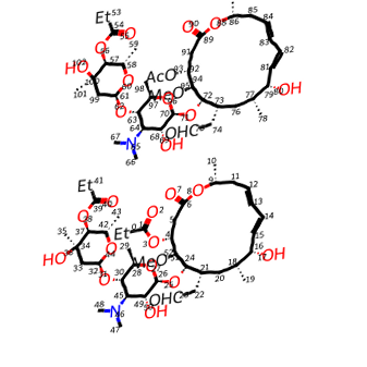 CCC(=O)O[C@@H]1CC(=O)O[C@H](C)C/C=C/C=C/[C@H](O)[C@H](C)C[C@H](CC=O)[C@H](O[C@@H]2O[C@H](C)[C@@H](O[C@H]3C[C@@](C)(O)[C@@H](OC(=O)CC)[C@H](C)O3)[C@H](N(C)C)[C@H]2O)[C@H]1OC.CCC(=O)O[C@H]1[C@H](C)O[C@@H](O[C@H]2[C@H](N(C)C)[C@@H](O)[C@H](O[C@H]3[C@@H](CC=O)C[C@@H](C)[C@@H](O)/C=C/C=C/C[C@@H](C)OC(=O)C[C@@H](OC(C)=O)[C@@H]3OC)O[C@@H]2C)C[C@@]1(C)O